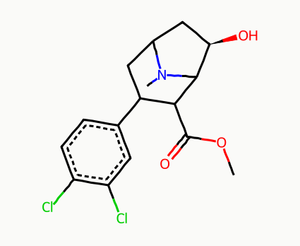 COC(=O)C1C(c2ccc(Cl)c(Cl)c2)CC2C[C@@H](O)C1N2C